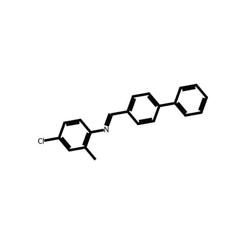 Cc1cc(Cl)ccc1N=Cc1ccc(-c2ccccc2)cc1